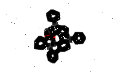 c1ccc(-n2c3ccccc3c3c4c5c6c(ccc5n(-c5ccccc5)c4ccc32)-c2ccccc2N2B6c3ccccc3-c3ccccc32)cc1